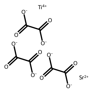 O=C([O-])C(=O)[O-].O=C([O-])C(=O)[O-].O=C([O-])C(=O)[O-].[Sr+2].[Ti+4]